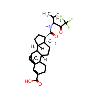 CC(C)C(NC(=O)[C@H]1CC[C@H]2[C@@H]3CC=C4C=C(C(=O)O)CC[C@]4(C)[C@H]3CC[C@]12C)C(=O)C(F)(F)F